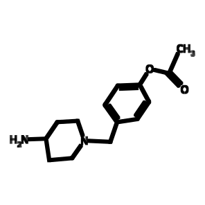 CC(=O)Oc1ccc(CN2CCC(N)CC2)cc1